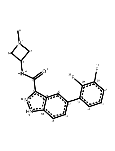 CN1CC(NC(=O)c2n[nH]c3ccc(-c4cccc(F)c4F)cc23)C1